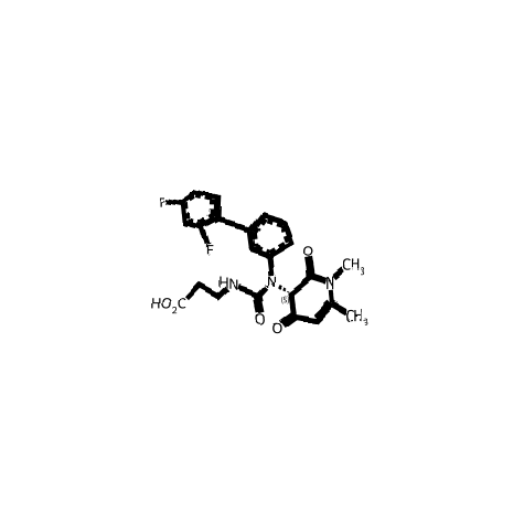 CC1=CC(=O)[C@H](N(C(=O)NCCC(=O)O)c2cccc(-c3ccc(F)cc3F)c2)C(=O)N1C